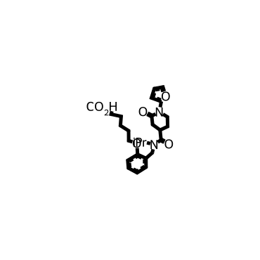 CC(C)N(Cc1ccccc1OCCCCCC(=O)O)C(=O)C1CCN(c2ccco2)C(=O)C1